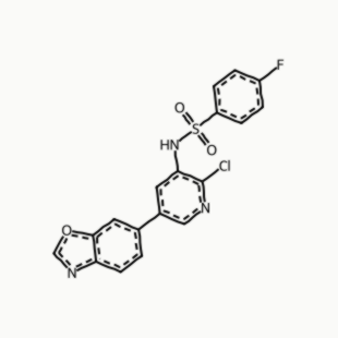 O=S(=O)(Nc1cc(-c2ccc3ncoc3c2)cnc1Cl)c1ccc(F)cc1